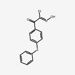 CCC(=NO)C(=O)c1ccc(Sc2ccccc2)cc1